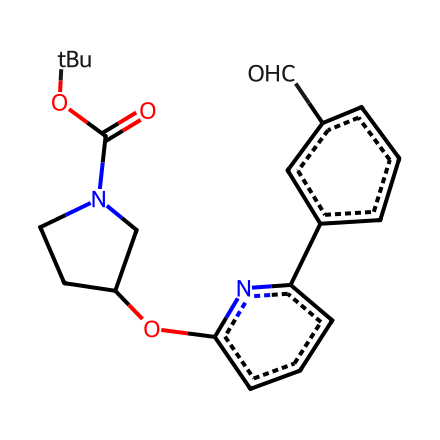 CC(C)(C)OC(=O)N1CCC(Oc2cccc(-c3cccc(C=O)c3)n2)C1